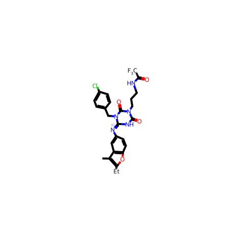 CCc1oc2ccc(/N=c3\[nH]c(=O)n(CCCNC(=O)C(F)(F)F)c(=O)n3Cc3ccc(Cl)cc3)cc2c1C